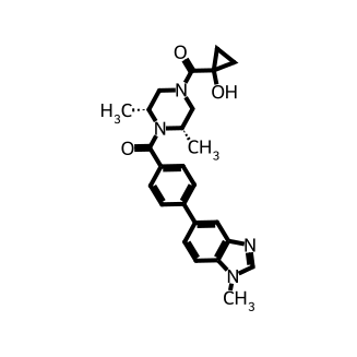 C[C@@H]1CN(C(=O)C2(O)CC2)C[C@H](C)N1C(=O)c1ccc(-c2ccc3c(c2)ncn3C)cc1